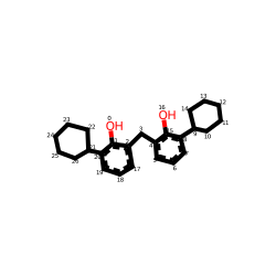 Oc1c(Cc2cccc(C3CCCCC3)c2O)cccc1C1CCCCC1